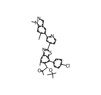 CC(=O)[C@@H](OC(C)(C)C)c1c(C)cc2nc(-c3ccnc(-c4cc5cnn(C)c5cc4C)c3)sc2c1-c1ccc(Cl)cc1